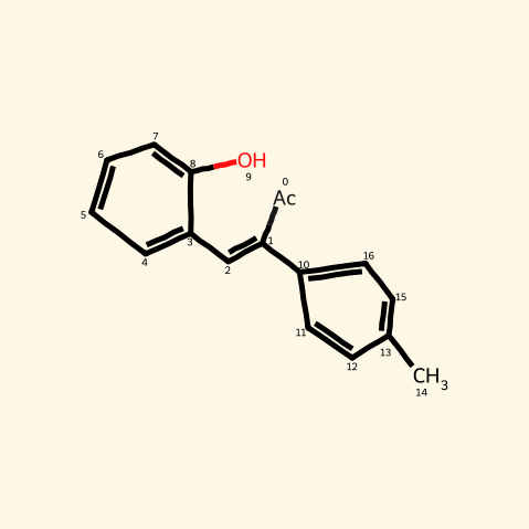 CC(=O)C(=Cc1ccccc1O)c1ccc(C)cc1